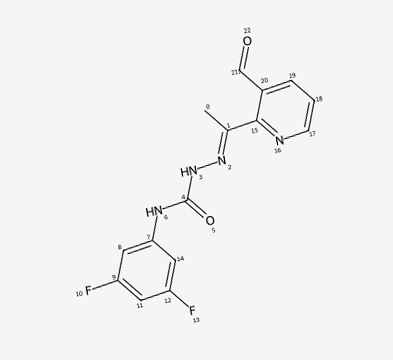 C/C(=N\NC(=O)Nc1cc(F)cc(F)c1)c1ncccc1[C]=O